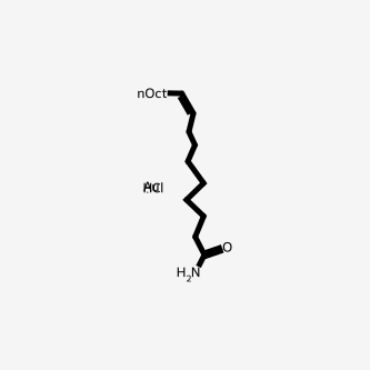 CCCCCCCC/C=C\CCCCCCCC(N)=O.Cl.[Au]